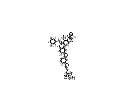 Cc1c(NS(C)(=O)=O)cccc1N(Cc1ccccc1)Cc1ccc(Oc2cccc(OCCCS(=O)(=O)O)c2)cc1